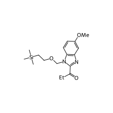 CCC(=O)c1nc2cc(OC)ccc2n1COCC[Si](C)(C)C